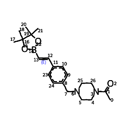 CC(=O)N1CCN(Cc2ccc(/C=C/B3OC(C)(C)C(C)(C)O3)cc2)CC1